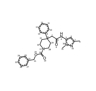 Cc1cc(NC(=O)CC2(c3ccccc3)CCN(C(=O)OCc3ccccc3)CC2)n(C)n1